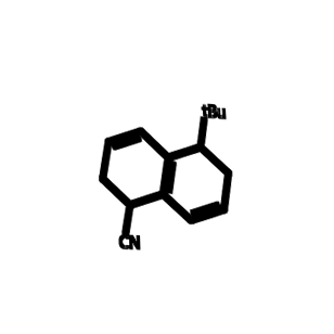 CC(C)(C)C1CC=CC2=C1C=CCC2C#N